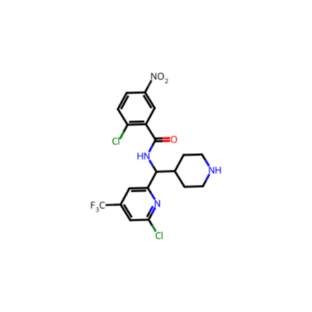 O=C(NC(c1cc(C(F)(F)F)cc(Cl)n1)C1CCNCC1)c1cc([N+](=O)[O-])ccc1Cl